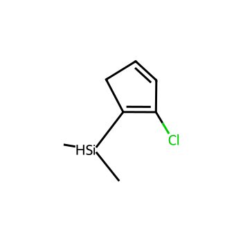 C[SiH](C)C1=C(Cl)C=CC1